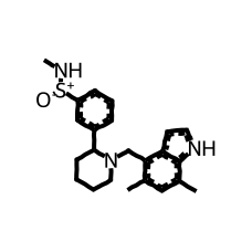 CN[S+]([O-])c1cccc(C2CCCCN2Cc2c(C)cc(C)c3[nH]ccc23)c1